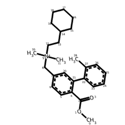 COC(=O)c1ccc(C[N+](C)(C)CCC2CCCCC2)cc1-c1ccccc1C